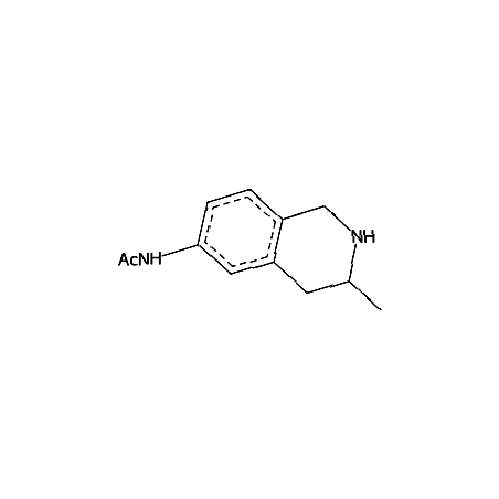 CC(=O)Nc1ccc2c(c1)CC(C)NC2